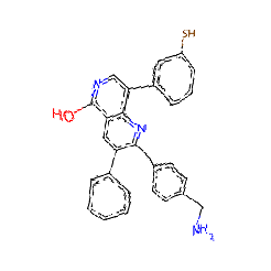 NCc1ccc(-c2nc3c(-c4cccc(S)c4)cnc(O)c3cc2-c2ccccc2)cc1